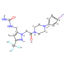 CNC(=O)NCc1c(C)c(C(F)(F)F)nn1CC(=O)N1CCN(c2ccc(I)cc2)CC1